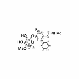 CO[C@@H]1[C@@H](O)[C@@H](O)C(Oc2cc(-c3ccccc3)c(CCNC(C)=O)cc2F)OC1(C)C